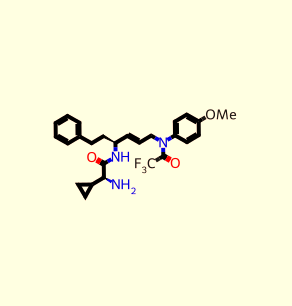 COc1ccc(N(C/C=C/[C@H](CCc2ccccc2)NC(=O)[C@@H](N)C2CC2)C(=O)C(F)(F)F)cc1